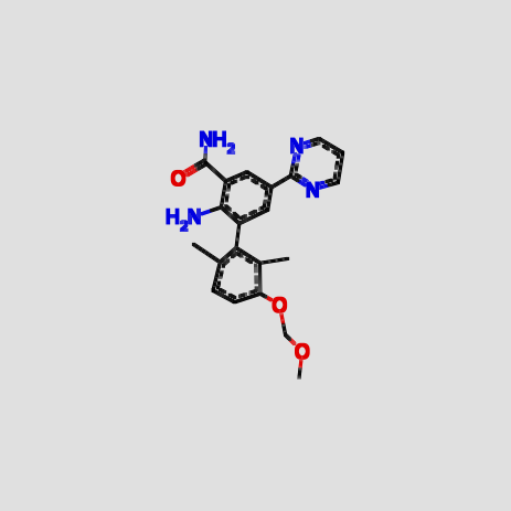 COCOc1ccc(C)c(-c2cc(-c3ncccn3)cc(C(N)=O)c2N)c1C